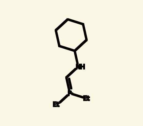 CC[P](=CNC1CCCCC1)CC